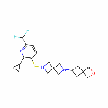 FC(F)c1ccc(SN2CC3(C2)CN(C2CC4(COC4)C2)C3)c(C2CC2)n1